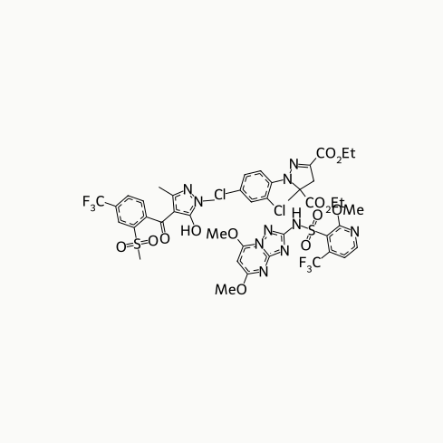 CCOC(=O)C1=NN(c2ccc(Cl)cc2Cl)C(C)(C(=O)OCC)C1.COc1cc(OC)n2nc(NS(=O)(=O)c3c(C(F)(F)F)ccnc3OC)nc2n1.Cc1nn(C)c(O)c1C(=O)c1ccc(C(F)(F)F)cc1S(C)(=O)=O